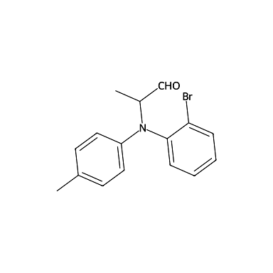 Cc1ccc(N(c2ccccc2Br)C(C)C=O)cc1